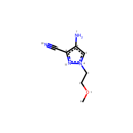 COCCn1cc(N)c(C#N)n1